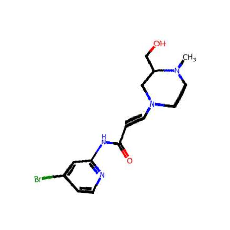 CN1CCN(C=CC(=O)Nc2cc(Br)ccn2)CC1CO